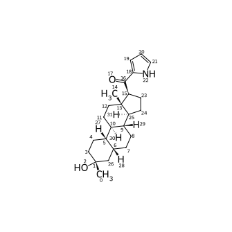 C[C@@]1(O)CC[C@H]2[C@H](CC[C@@H]3[C@@H]2CC[C@]2(C)[C@@H](C(=O)c4ccc[nH]4)CC[C@@H]32)C1